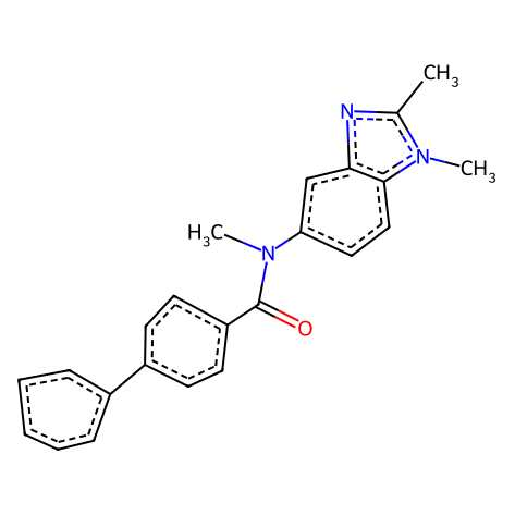 Cc1nc2cc(N(C)C(=O)c3ccc(-c4ccccc4)cc3)ccc2n1C